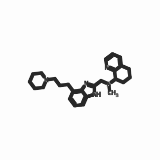 CN(Cc1nc2c(CCCN3CCCCC3)cccc2[nH]1)C1CCCc2cccnc21